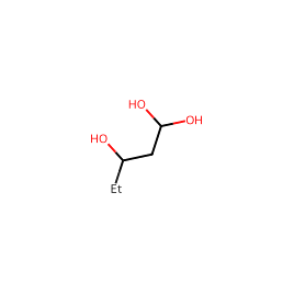 CCC(O)CC(O)O